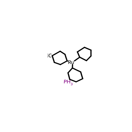 C1CC[CH]([Ru]([CH]2CCCCC2)[CH]2CCCCC2)CC1.P.[C]